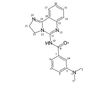 CN(C)c1cccc(C(=O)NC2=Nc3ccccc3C3=NCCN23)c1